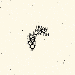 CC(CC/C=C(/C(=O)O)C(O)(O)O)[C@H]1CC[C@H]2[C@@H]3CCC4CCCC[C@]4(C)[C@H]3CC[C@]12C